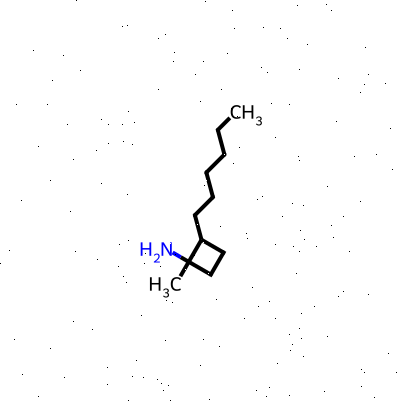 CCCCCCC1CCC1(C)N